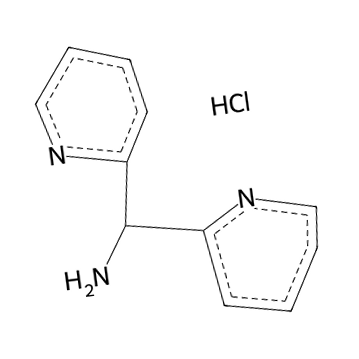 Cl.NC(c1ccccn1)c1ccccn1